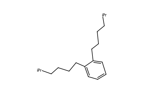 CC(C)CCCCc1ccccc1CCCCC(C)C